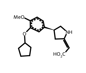 COc1ccc([C@H]2CNC(=CC(=O)O)C2)cc1OC1CCCC1